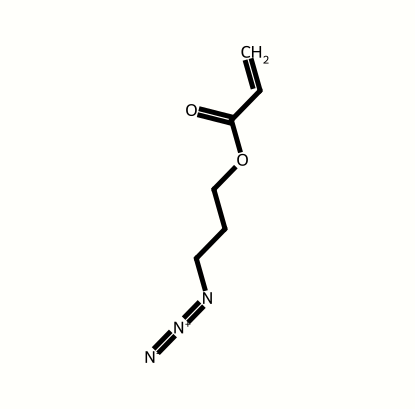 C=CC(=O)OCCCN=[N+]=[N-]